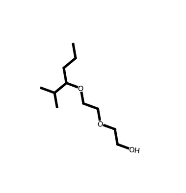 CCCC(OCCOCCO)C(C)C